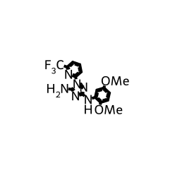 COc1ccc(OC)c(Nc2nc(N)n(-c3cccc(C(F)(F)F)n3)n2)c1